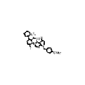 COc1ccc(Cn2ccc(=O)c3c(NC(C)c4nc(F)ccc4-c4ccccn4)ncnc32)cc1